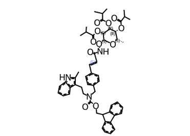 Cc1[nH]c2ccccc2c1CCN(Cc1ccc(/C=C/C(=O)NO[C@@H]2O[C@@H](C)[C@@H](OC(=O)C(C)C)[C@@H](OC(=O)C(C)C)[C@@H]2OC(=O)C(C)C)cc1)C(=O)OCC1c2ccccc2-c2ccccc21